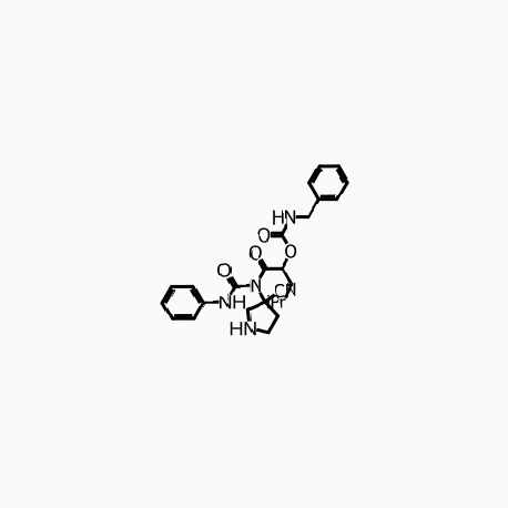 CC(C)CC(OC(=O)NCc1ccccc1)C(=O)N(C(=O)Nc1ccccc1)C1(C#N)CCNC1